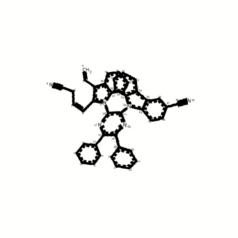 C=Cc1c(/C=C\CC#N)n(-c2nc(-c3ccccc3)c(-c3ccccc3)nc2-n2c3ccccc3c3cc(C#N)ccc32)c2ccccc12